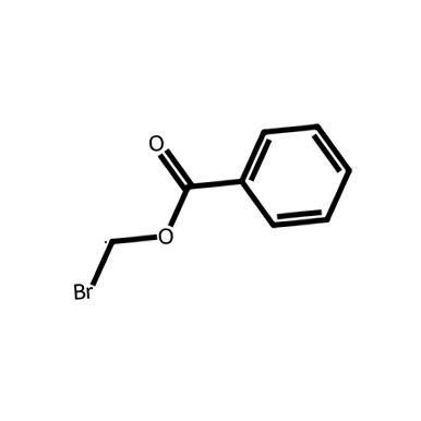 O=C(O[CH]Br)c1ccccc1